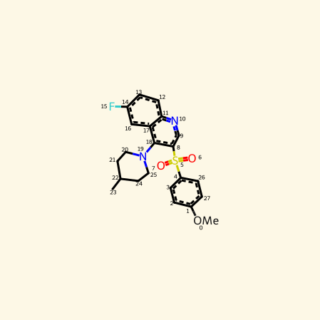 COc1ccc(S(=O)(=O)c2cnc3ccc(F)cc3c2N2CCC(C)CC2)cc1